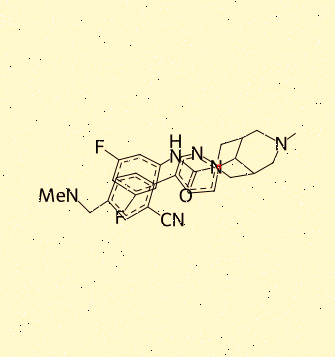 CNCc1ccc(-c2ccc(C3C4CN(C)CC3CN(C(=O)Nc3cc(F)cc(F)c3)C4)nc2)c(C#N)c1